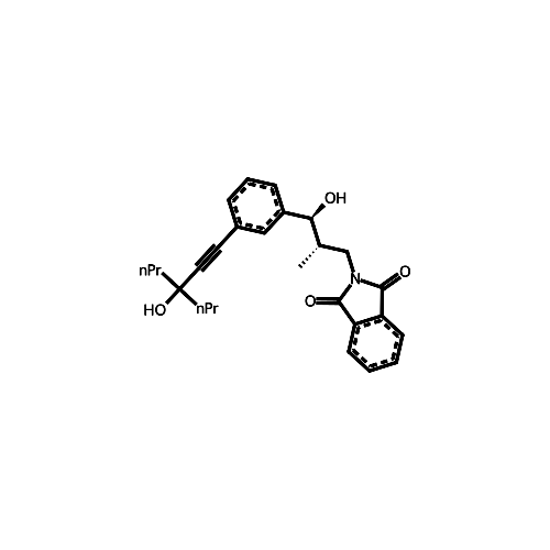 CCCC(O)(C#Cc1cccc([C@@H](O)[C@@H](C)CN2C(=O)c3ccccc3C2=O)c1)CCC